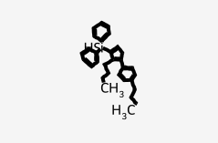 CCCCC1=C(c2ccc(CCCC)cc2)CC=C1[SiH](c1ccccc1)c1ccccc1